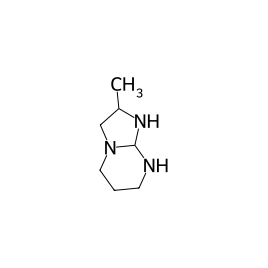 CC1CN2CCCNC2N1